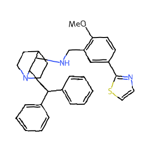 COc1ccc(-c2nccs2)cc1CNC1C2CCN(CC2)C1C(c1ccccc1)c1ccccc1